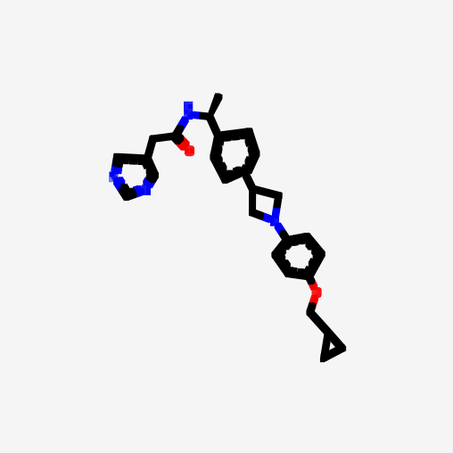 C[C@H](NC(=O)Cc1cncnc1)c1ccc(C2CN(c3ccc(OCC4CC4)cc3)C2)cc1